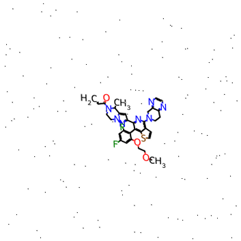 C=CC(=O)N1CCn2nc(-c3nc(N4CCc5nccnc5C4)c4ccsc4c3-c3c(F)cc(F)cc3OCCOC)cc2C1C